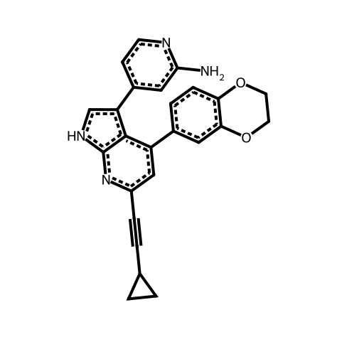 Nc1cc(-c2c[nH]c3nc(C#CC4CC4)cc(-c4ccc5c(c4)OCCO5)c23)ccn1